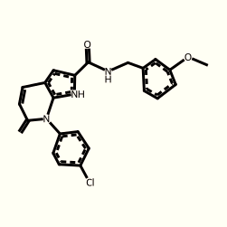 C=C1C=Cc2cc(C(=O)NCc3cccc(OC)c3)[nH]c2N1c1ccc(Cl)cc1